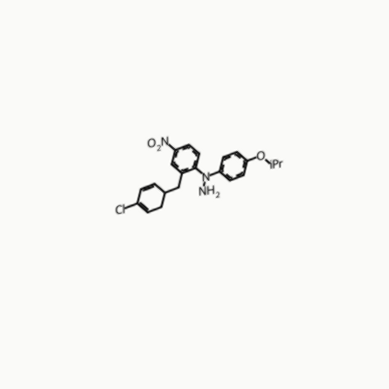 CC(C)Oc1ccc(N(N)c2ccc([N+](=O)[O-])cc2CC2C=CC(Cl)=CC2)cc1